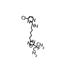 CC(C)(F)c1nc(CCCCCNc2nccc(Cl)n2)no1